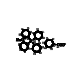 COc1ccccc1[P+](c1ccccc1)(c1ccccc1)c1ccccc1.O=C([O-])c1ccccc1